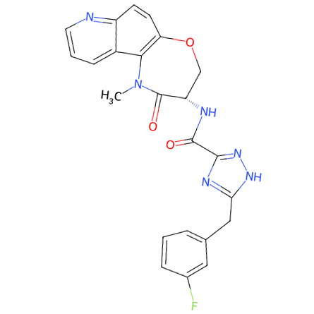 CN1C(=O)[C@@H](NC(=O)c2n[nH]c(Cc3cccc(F)c3)n2)COc2ccc3ncccc3c21